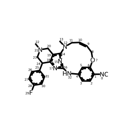 [C-]#[N+]c1ccc2cc1OC/C=C\CN(C)c1nc(nc3c1CN(C)CC3c1ccc(F)cc1)N2